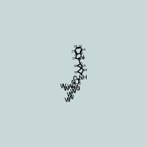 O=C(CS(=O)(=O)[N]([W][W][W])[W][W][W][W])NC1CC2(C1)CC(C1=Nc3ccccc3C1)C2